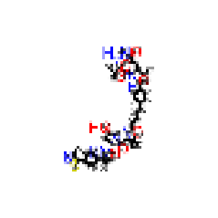 Cc1ncsc1-c1ccc(C2(NC(=O)[C@@H]3C[C@@H](O)CN3C(=O)[C@@H](NC(=O)CCCCc3ccc(CO[C@H](C)[C@H](CCC(N)=O)NC(=O)OC(C)(C)C)cc3)C(C)(C)C)CC2)cc1